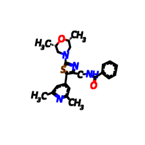 Cc1cc(-c2sc(N3C[C@@H](C)O[C@@H](C)C3)nc2CNC(=O)c2ccccc2)cc(C)n1